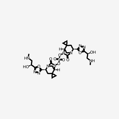 CNC[C@H](O)c1nnc([C@@H]2CC3(CC3)[C@@H]3CN2C(=O)N3OS(=O)(=O)ON2C(=O)N3C[C@H]2C2(CC2)C[C@H]3c2nnc([C@@H](O)CNC)o2)o1